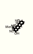 COC(=O)O[C@@]12C(=O)C(C#N)=C(O)CC1CC1Cc3cccc(O)c3C(=O)C1=C2O